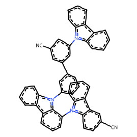 N#Cc1cc(-c2cccc(-n3c4ccccc4c4cccc(-n5c6ccccc6c6cc(C#N)ccc65)c43)c2)cc(-n2c3ccccc3c3ccccc32)c1